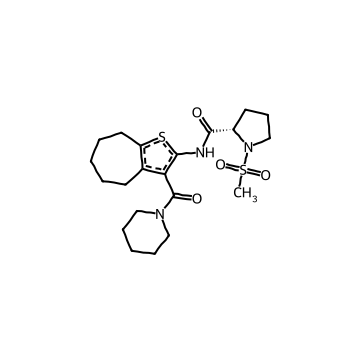 CS(=O)(=O)N1CCC[C@H]1C(=O)Nc1sc2c(c1C(=O)N1CCCCC1)CCCCC2